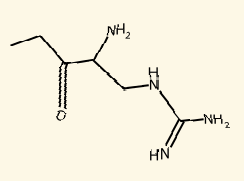 CCC(=O)C(N)CNC(=N)N